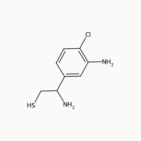 Nc1cc(C(N)CS)ccc1Cl